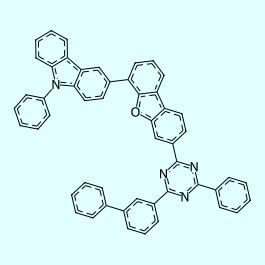 c1ccc(-c2cccc(-c3nc(-c4ccccc4)nc(-c4ccc5c(c4)oc4c(-c6ccc7c(c6)c6ccccc6n7-c6ccccc6)cccc45)n3)c2)cc1